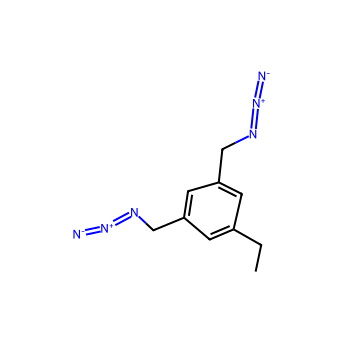 CCc1cc(CN=[N+]=[N-])cc(CN=[N+]=[N-])c1